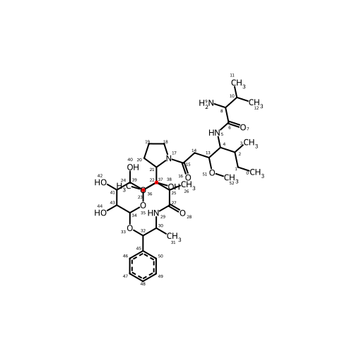 CCC(C)C(NC(=O)C(N)C(C)C)C(CC(=O)N1CCCC1C(OC)C(C)C(=O)NC(C)C(OC1OC(CO)C(O)C(O)C1O)c1ccccc1)OC